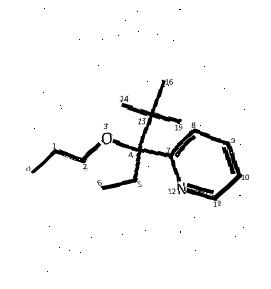 CCCOC(CC)(c1ccccn1)C(C)(C)C